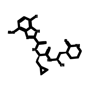 COc1ccc(Cl)c2[nH]c(C(=O)N[C@@H](CC3CC3)C(=O)N[C@H](C#N)C[C@@H]3CCCNC3=O)nc12